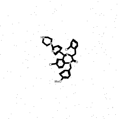 COc1ccc(CN2C(=O)C(Cc3ccccc3Cl)N=C(c3ccc(N4CCNCC4)nc3)c3cc(Cl)ccc32)cc1